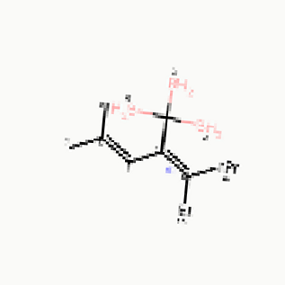 BC(B)(B)/C(C=C(C)C)=C(/CC)CCC